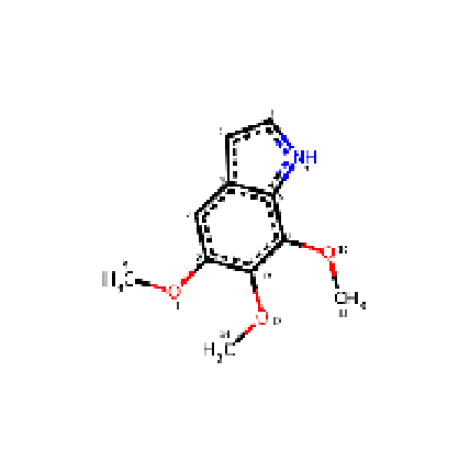 COc1cc2c[c][nH]c2c(OC)c1OC